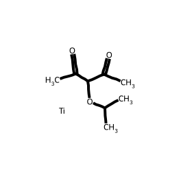 CC(=O)C(OC(C)C)C(C)=O.[Ti]